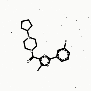 Cc1nc(-c2cccc(F)c2)sc1C(=O)N1CCN(C2CCCC2)CC1